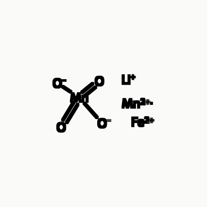 [Fe+2].[Li+].[Mn+2].[O]=[Mn](=[O])([O-])[O-]